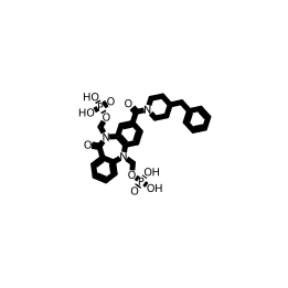 O=C(c1ccc2c(c1)N(COP(=O)(O)O)C(=O)c1ccccc1N2COP(=O)(O)O)N1CCC(Cc2ccccc2)CC1